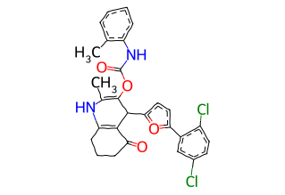 CC1=C(OC(=O)Nc2ccccc2C)C(c2ccc(-c3cc(Cl)ccc3Cl)o2)C2=C(CCCC2=O)N1